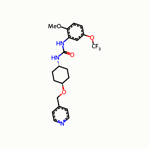 COc1ccc(OC(F)(F)F)cc1NC(=O)N[C@H]1CC[C@H](OCc2ccncc2)CC1